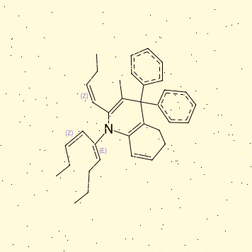 CC/C=C\C1=C(C)C(c2ccccc2)(c2ccccc2)C2=C(C=CCC2)N1C(/C=C\CC)=C/CCC